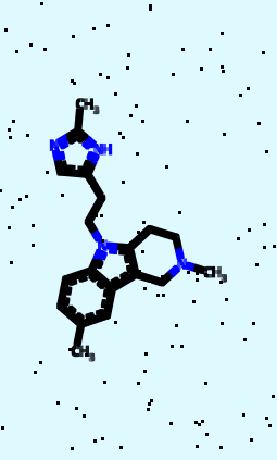 Cc1ccc2c(c1)c1c(n2CCc2cnc(C)[nH]2)CCN(C)C1